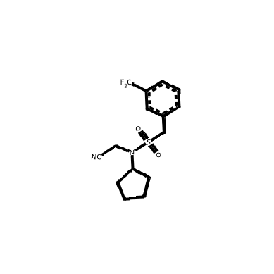 N#CCN(C1CCCC1)S(=O)(=O)Cc1cccc(C(F)(F)F)c1